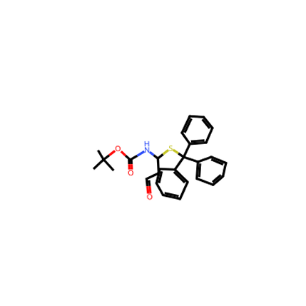 CC(C)(C)OC(=O)NC(CC=O)SC(c1ccccc1)(c1ccccc1)c1ccccc1